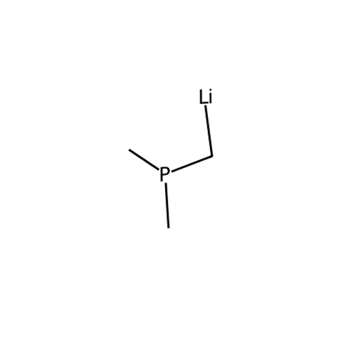 [Li][CH2]P(C)C